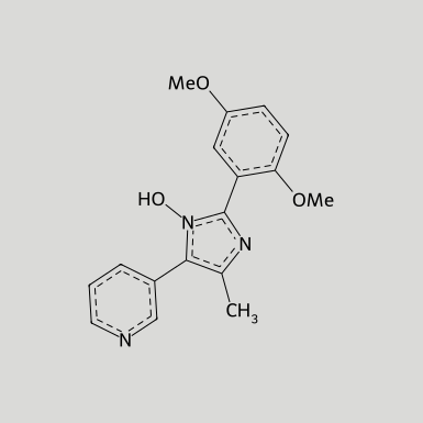 COc1ccc(OC)c(-c2nc(C)c(-c3cccnc3)n2O)c1